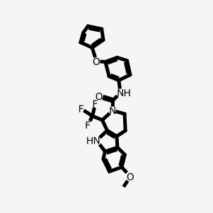 COc1ccc2[nH]c3c(c2c1)CCN(C(=O)Nc1cccc(Oc2ccccc2)c1)C3C(F)(F)F